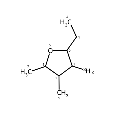 [3H]C1C(CC)OC(C)C1C